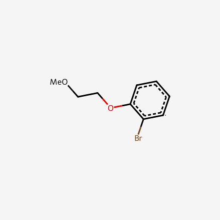 COCCOc1ccc[c]c1Br